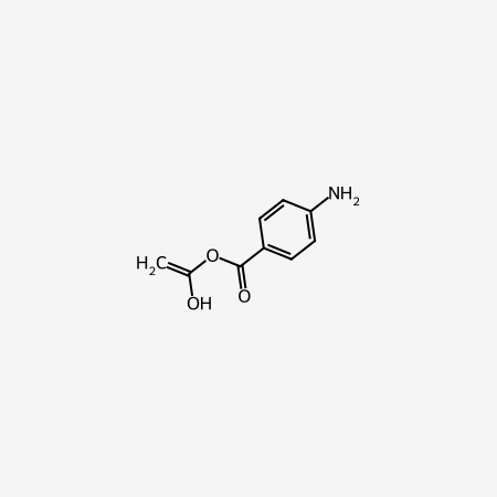 C=C(O)OC(=O)c1ccc(N)cc1